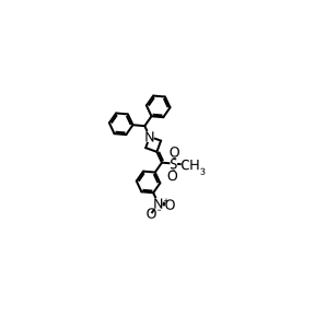 CS(=O)(=O)C(=C1CN(C(c2ccccc2)c2ccccc2)C1)c1cccc([N+](=O)[O-])c1